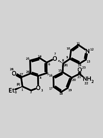 CC[C@@H]1COc2cc(O[C@H](c3ccncc3)c3ccccc3C(N)=O)ccc2C1=O